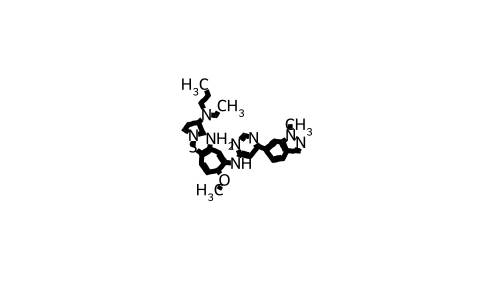 CCCN(CC)C1CCN(SC2=C(N)C=C(Nc3cc(-c4ccc5cnn(C)c5c4)ncn3)C(OC)C=C2)C1